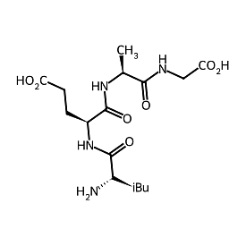 CC[C@H](C)[C@H](N)C(=O)N[C@@H](CCC(=O)O)C(=O)N[C@@H](C)C(=O)NCC(=O)O